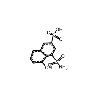 NS(=O)(=O)c1cc(S(=O)(=O)O)cc2cccc(O)c12